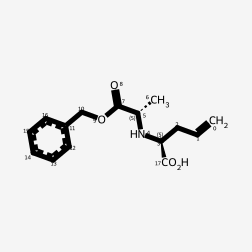 C=CC[C@H](N[C@@H](C)C(=O)OCc1ccccc1)C(=O)O